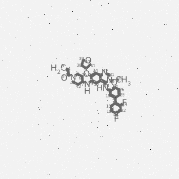 C=CC(=O)N1CCC(Nc2cc3c(Nc4cc(-c5ccc(F)cc5F)ccc4OC)ncnc3cc2O[C@@H]2CCOC2)CC1